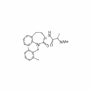 CNC(C)C(=O)N[C@H]1CCc2ccccc2N(Cc2c(C)cccc2C)C1=O